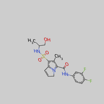 Cc1c(S(=O)(=O)NC(C)CO)c2n(c1C(=O)Nc1ccc(F)c(F)c1)CC=C2